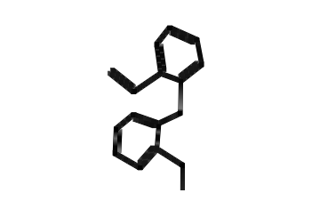 C=Cc1ccccc1Cc1ccccc1CC